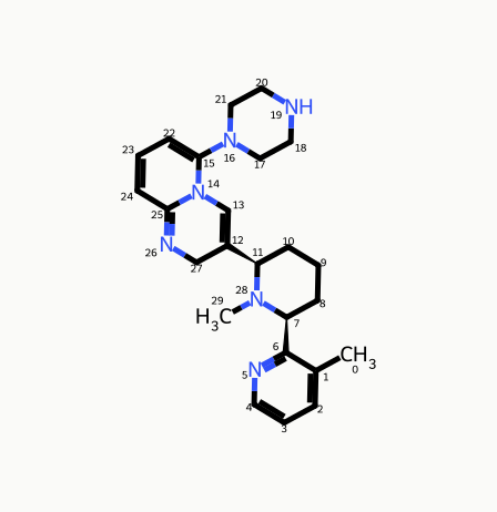 Cc1cccnc1[C@@H]1CCC[C@H](C2=CN3C(N4CCNCC4)=CC=CC3=NC2)N1C